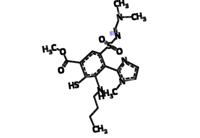 CCCCNc1c(S)c(C(=O)OC)cc(S(=O)(=O)/N=C/N(C)C)c1-c1nccn1C